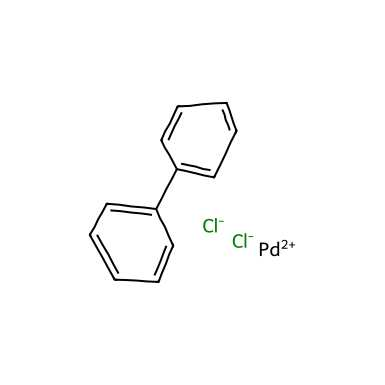 [Cl-].[Cl-].[Pd+2].c1ccc(-c2ccccc2)cc1